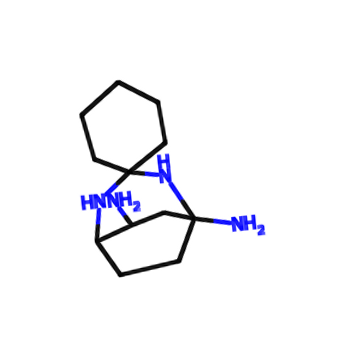 NC1CC2(N)CCC1NC1(CCCCC1)N2